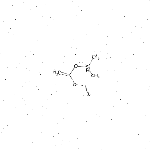 C=C(OCI)O[SiH](C)C